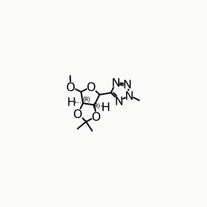 COC1OC(c2nnn(C)n2)[C@H]2OC(C)(C)O[C@@H]12